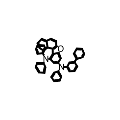 c1ccc(-c2cccc(N(c3ccccc3)c3cc(N(c4ccccc4)c4ccccc4)c4c(c3)oc3ccc5ccccc5c34)c2)cc1